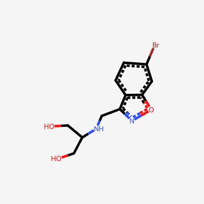 OCC(CO)NCc1noc2cc(Br)ccc12